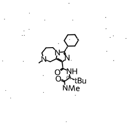 CNC(=O)[C@@H](NC(=O)c1nc(C2CCCCC2)n2c1CN(C)CCC2)C(C)(C)C